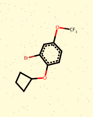 FC(F)(F)Oc1ccc(OC2CCC2)c(Br)c1